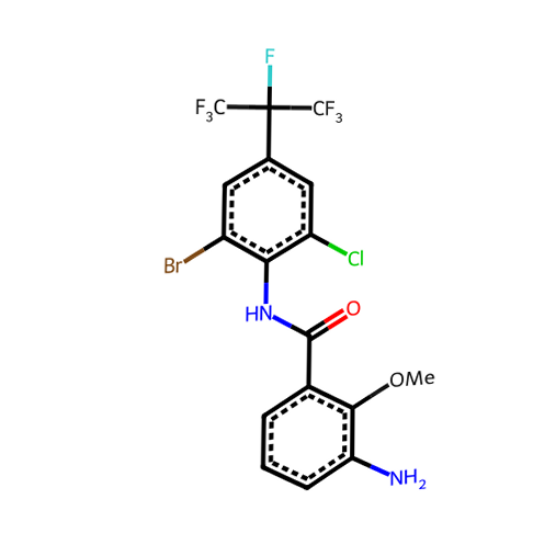 COc1c(N)cccc1C(=O)Nc1c(Cl)cc(C(F)(C(F)(F)F)C(F)(F)F)cc1Br